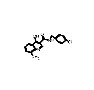 Nc1cccc2c(O)c(C(=O)NCc3ccc(Cl)cc3)cnc12